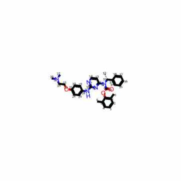 Cc1cccc(C)c1OC(=O)N(c1ccnc(Nc2ccc(OCCN(C)C)cc2)n1)[C@H](C)c1ccccc1